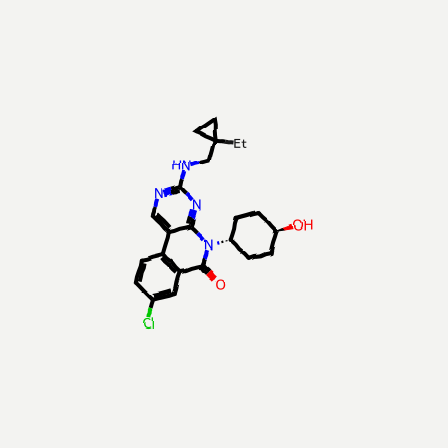 CCC1(CNc2ncc3c4ccc(Cl)cc4c(=O)n([C@H]4CC[C@H](O)CC4)c3n2)CC1